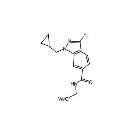 CCc1nn(CC2CC2)c2cc(C(=O)NCOC)ccc12